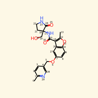 Cc1ccc(COc2ccc3oc(C)c(C(=O)NC4(CO)CCNC4=O)c3c2)cn1